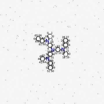 C1=CCCC(N(c2ccc(N(c3ccc(N(C4=CCCC=C4)c4ccc5ccccc5c4)cc3)c3ccc(N(c4ccccc4)c4ccc5ccccc5c4)cc3)cc2)c2ccc3ccccc3c2)=C1